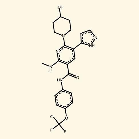 CNc1nc(N2CCC(O)CC2)c(-c2ccn[nH]2)cc1C(=O)Nc1ccc(OC(F)(F)Cl)cc1